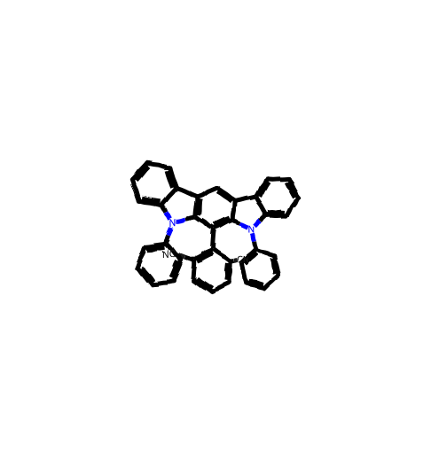 N#Cc1cccc(C#N)c1-c1c2c(cc3c4ccccc4n(-c4ccccc4)c13)c1ccccc1n2-c1ccccc1